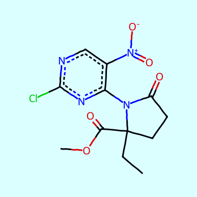 CCC1(C(=O)OC)CCC(=O)N1c1nc(Cl)ncc1[N+](=O)[O-]